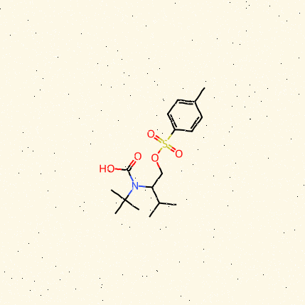 Cc1ccc(S(=O)(=O)OCC(C(C)C)N(C(=O)O)C(C)(C)C)cc1